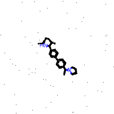 CC1CCC(C)C(c2ccc(-c3ccc(C(C)N4CCCC4)cc3)cc2)N1